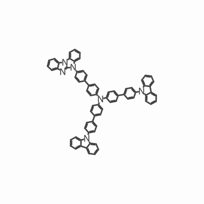 c1ccc2c(c1)nc1n(-c3ccc(-c4ccc(N(c5ccc(-c6ccc(-n7c8ccccc8c8ccccc87)cc6)cc5)c5ccc(-c6ccc(-n7c8ccccc8c8ccccc87)cc6)cc5)cc4)cc3)c3ccccc3n21